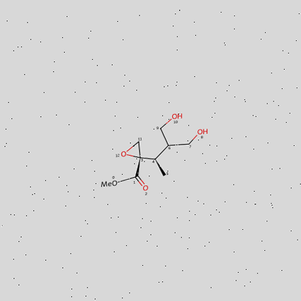 COC(=O)[C@]1([C@H](C)C(CO)CO)CO1